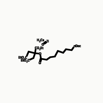 CCCCCCCCCCCCCCCCCC(=O)OC(CC(=O)OCC)(CC(=O)OCC)C(=O)OCC.[CaH2].[O]=[Ti]